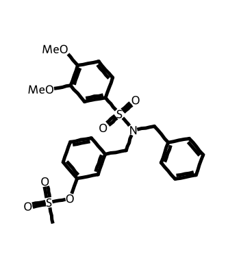 COc1ccc(S(=O)(=O)N(Cc2ccccc2)Cc2cccc(OS(C)(=O)=O)c2)cc1OC